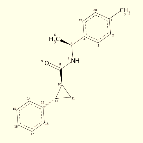 Cc1ccc([C@H](C)NC(=O)[C@H]2C[C@@H]2c2ccccc2)cc1